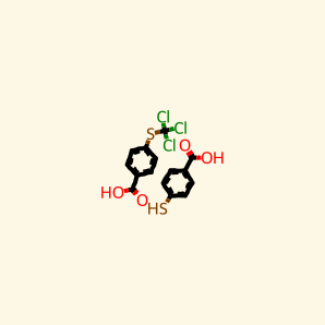 O=C(O)c1ccc(S)cc1.O=C(O)c1ccc(SC(Cl)(Cl)Cl)cc1